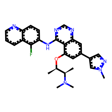 C[C@H]([C@@H](C)Oc1cc(-c2cnn(C)c2)cc2ncnc(Nc3ccc4ncccc4c3F)c12)N(C)C